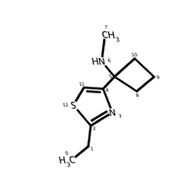 CCc1nc(C2(NC)CCC2)cs1